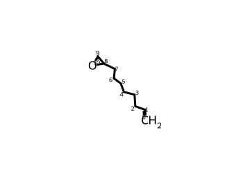 C=CCCCCCCC1[CH]O1